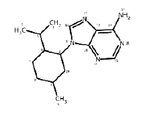 CC1CCC(C(C)C)C(n2cnc3c(N)ncnc32)C1